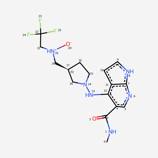 CNC(=O)c1cnc2[nH]ccc2c1NN1CC[C@H](C[NH+]([O-])CC(F)(F)F)C1